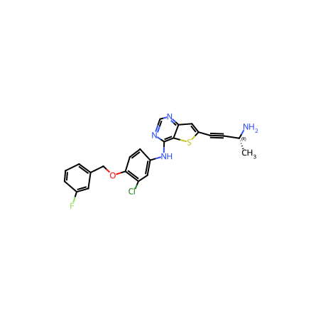 C[C@@H](N)C#Cc1cc2ncnc(Nc3ccc(OCc4cccc(F)c4)c(Cl)c3)c2s1